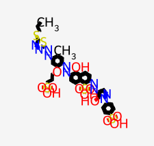 CCCSc1nnc(N=Nc2cc(OCCCS(=O)(=O)O)c(N=Nc3ccc4c(S(=O)(=O)O)c(N=Nc5cnn(-c6ccc(S(=O)(=O)O)cc6)c5O)ccc4c3O)cc2C)s1